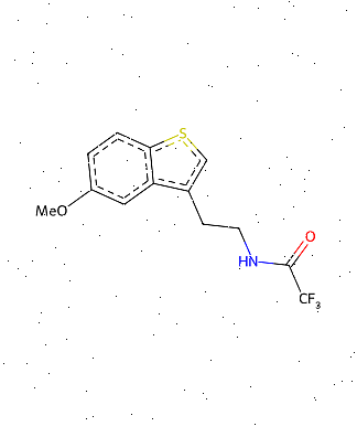 COc1ccc2scc(CCNC(=O)C(F)(F)F)c2c1